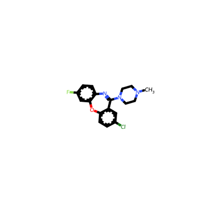 CN1CCN(C2=Nc3ccc(F)cc3Oc3ccc(Cl)cc32)CC1